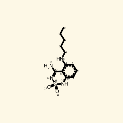 CCCCCNc1cccc2c1C(N)=NS(=O)(=O)N2